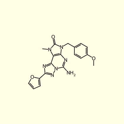 COc1ccc(Cn2c(=O)n(C)c3c2nc(N)n2nc(-c4ccco4)nc32)cc1